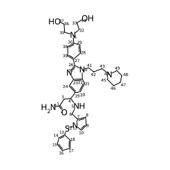 NC(=O)CC(NCc1cccn1Sc1ccccc1)c1ccc2c(c1)nc(-c1ccc(N(CCO)CCO)cc1)n2CCCN1CCCCC1